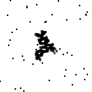 CC1(C)C(=O)N(c2ccc(C3(C#N)CC3)cc2)C(=O)N1Cc1ccnc(N)c1